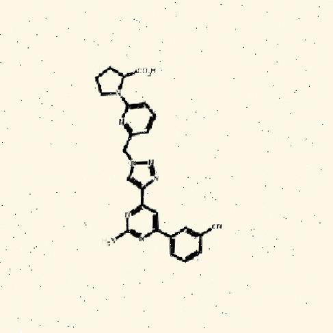 N#Cc1cccc(-c2cc(-c3cn(Cc4cccc(N5CCCC5C(=O)O)n4)nn3)nc(N)n2)c1